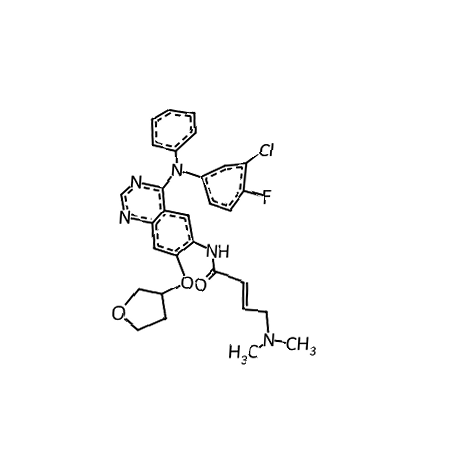 CN(C)CC=CC(=O)Nc1cc2c(N(c3ccccc3)c3ccc(F)c(Cl)c3)ncnc2cc1OC1CCOC1